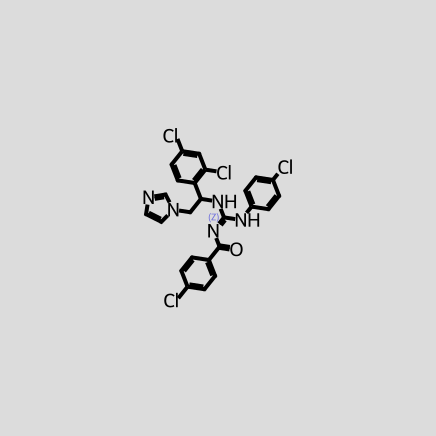 O=C(/N=C(\Nc1ccc(Cl)cc1)NC(Cn1ccnc1)c1ccc(Cl)cc1Cl)c1ccc(Cl)cc1